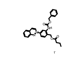 CCCC(=O)OCc1ccc(-[n+]2ccc3ccccc3n2)cc1NC(=O)OCc1ccccc1.[I-]